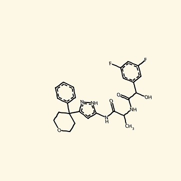 CC(NC(=O)C(O)c1cc(F)cc(F)c1)C(=O)Nc1cc(C2(c3ccccc3)CCOCC2)n[nH]1